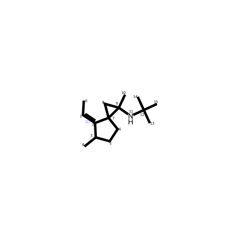 C/C=C1/C(C)CCC12CC2(C)NC(C)(C)C